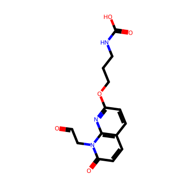 O=CCn1c(=O)ccc2ccc(OCCCNC(=O)O)nc21